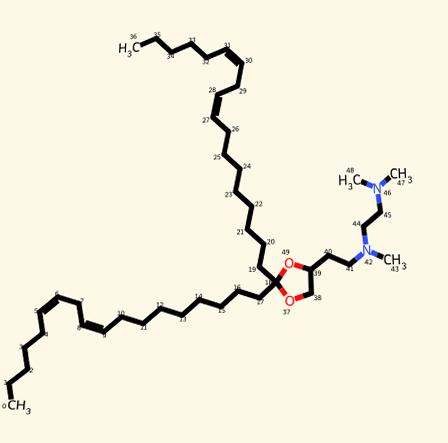 CCCCC/C=C\C/C=C\CCCCCCCCC1(CCCCCCCC/C=C\C/C=C\CCCCC)OCC(CCN(C)CCN(C)C)O1